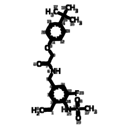 C=Cc1cc(CNC(=O)COc2ccc(C(C)(C)C)cc2)cc(F)c1NS(C)(=O)=O